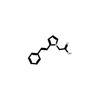 O=C(O)Cn1cccc1C=Cc1ccccc1